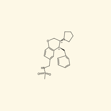 CS(=O)(=O)NCc1ccc2c(c1)[C@H](Cc1ccccc1)[C@H](N1CCCC1)CO2